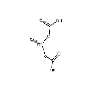 O=C(O)O[PH](=O)OC(=O)O